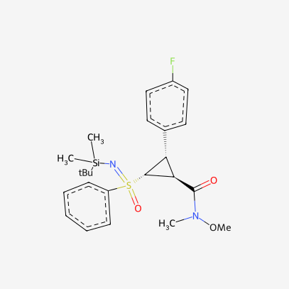 CON(C)C(=O)[C@@H]1[C@@H](c2ccc(F)cc2)[C@H]1S(=O)(=N[Si](C)(C)C(C)(C)C)c1ccccc1